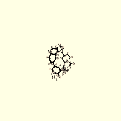 CC(=O)N1CCC(n2nnc3cnc4ccc(-c5cnc(N)c(C(F)(F)F)c5)cc4c32)CC1